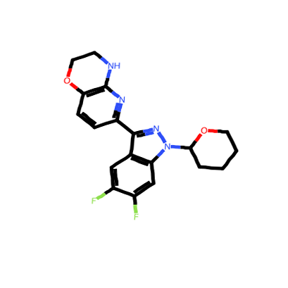 Fc1cc2c(-c3ccc4c(n3)NCCO4)nn(C3CCCCO3)c2cc1F